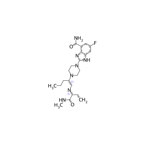 C=C/C(=N\C=C(/CCC)N1CCN(c2nc3c(C(N)=O)cc(F)cc3[nH]2)CC1)C(=O)NC